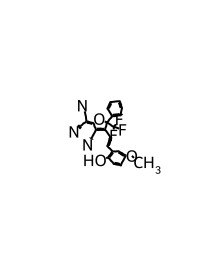 COc1ccc(O)c(/C=C/C2=C(C#N)C(=C(C#N)C#N)OC2(c2ccccc2)C(F)(F)F)c1